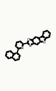 c1cc(-c2nc3cc4oc5ccccc5c4cc3o2)nc(-c2cccc3ccccc23)c1